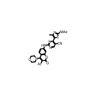 CNc1nc(C)c(-c2nc(Nc3ccc4c(N5CCOCC5)c(C(C)=O)c(=O)oc4c3)ncc2C#N)s1